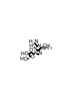 CNc1nc(CN)nc2c1ncn2C1O[C@H](CO)[C@@H](O)[C@H]1O